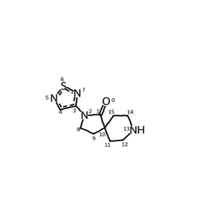 O=C1N(c2cnsn2)CCC12CCNCC2